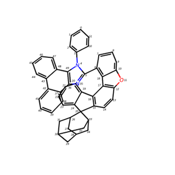 c1ccc(-n2c(-c3cccc4oc5ccc6c(c5c34)-c3ccccc3C63C4CC5CC(C4)CC3C5)nc3c4ccccc4c4ccccc4c32)cc1